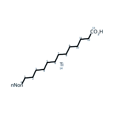 CCCCCCCCCCCCCCCCCCCCCC(=O)O.[Ti]